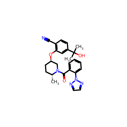 C[C@@H]1CC[C@@H](Oc2cc(C(C)(C)O)ccc2C#N)CN1C(=O)c1ccccc1-n1nccn1